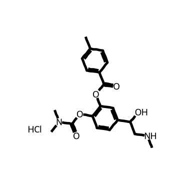 CNCC(O)c1ccc(OC(=O)N(C)C)c(OC(=O)c2ccc(C)cc2)c1.Cl